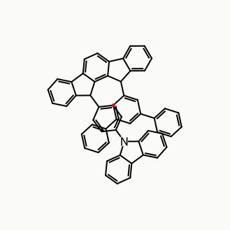 c1ccc(-c2cc(-c3ccccc3)cc(C3c4ccccc4-c4ccc5c(c43)C(c3ccc(-n4c6ccccc6c6ccccc64)cc3)c3ccccc3-5)c2)cc1